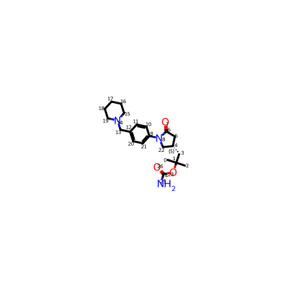 CC(C)(C[C@H]1CC(=O)N(c2ccc(CN3CCCCC3)cc2)C1)OC(N)=O